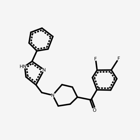 O=C(c1ccc(F)c(F)c1)C1CCN(Cc2c[nH]c(-c3ccccc3)n2)CC1